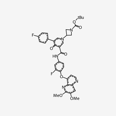 COc1cc2nccc(Oc3ccc(NC(=O)c4cn(C5CN(C(=O)OC(C)(C)C)C5)cc(-c5ccc(F)cc5)c4=O)cc3F)c2nc1OC